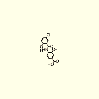 COc1cc(C(=O)O)ccc1NC(=O)c1cc(Cl)ccc1O